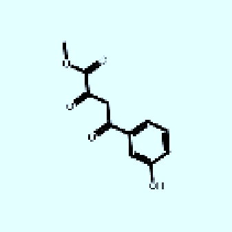 COC(=O)C(=O)CC(=O)c1cccc(O)c1